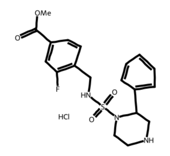 COC(=O)c1ccc(CNS(=O)(=O)N2CCNCC2c2ccccc2)c(F)c1.Cl